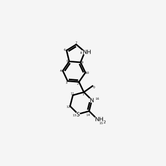 CC1(c2ccc3cc[nH]c3c2)CCSC(N)=N1